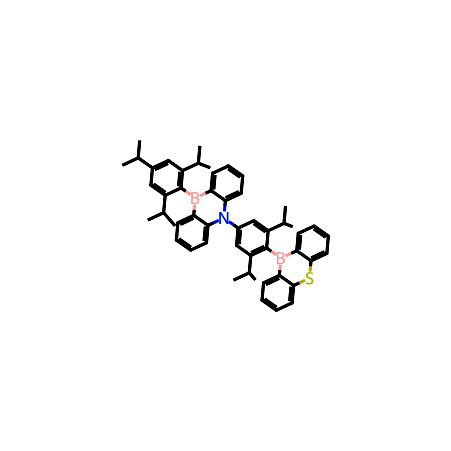 CC(C)c1cc(C(C)C)c(B2c3ccccc3N(c3cc(C(C)C)c(B4c5ccccc5Sc5ccccc54)c(C(C)C)c3)c3ccccc32)c(C(C)C)c1